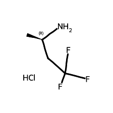 C[C@@H](N)CC(F)(F)F.Cl